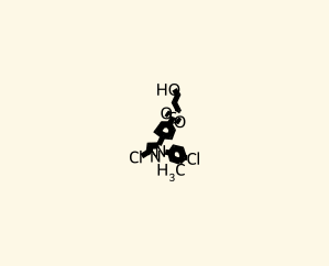 Cc1cc(-n2nc(Cl)cc2-c2ccc(S(=O)(=O)CCCO)cc2)ccc1Cl